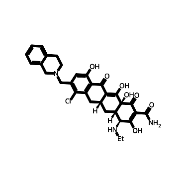 CCN[C@@H]1C(O)=C(C(N)=O)C(=O)[C@@]2(O)C(O)=C3C(=O)c4c(O)cc(CN5CCc6ccccc6C5)c(Cl)c4C[C@H]3C[C@@H]12